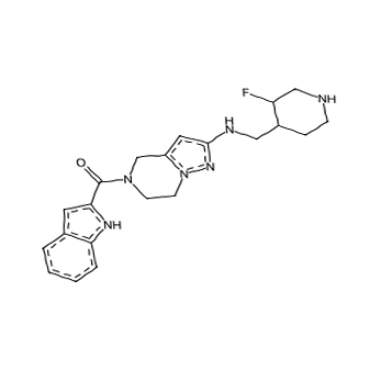 O=C(c1cc2ccccc2[nH]1)N1CCn2nc(NCC3CCNCC3F)cc2C1